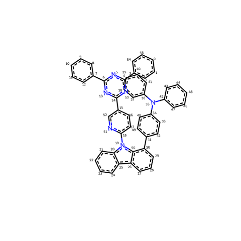 c1ccc(-c2nc(-c3ccccc3)nc(-c3ccc(-n4c5ccccc5c5cccc(-c6ccc(N(c7ccccc7)c7ccccc7)cc6)c54)nc3)n2)cc1